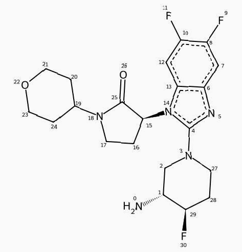 N[C@@H]1CN(c2nc3cc(F)c(F)cc3n2[C@H]2CCN(C3CCOCC3)C2=O)CC[C@H]1F